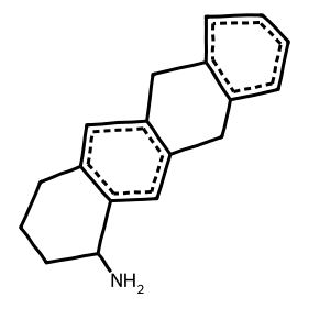 NC1CCCc2cc3c(cc21)Cc1ccccc1C3